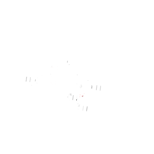 C=CC(=O)OC(C)CC[Si](CC)(CC)OCC